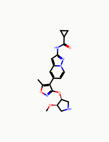 CO[C@@H]1CNC[C@@H]1Oc1noc(C)c1-c1ccn2nc(NC(=O)C3CC3)cc2c1